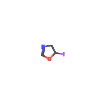 IC1CN=CO1